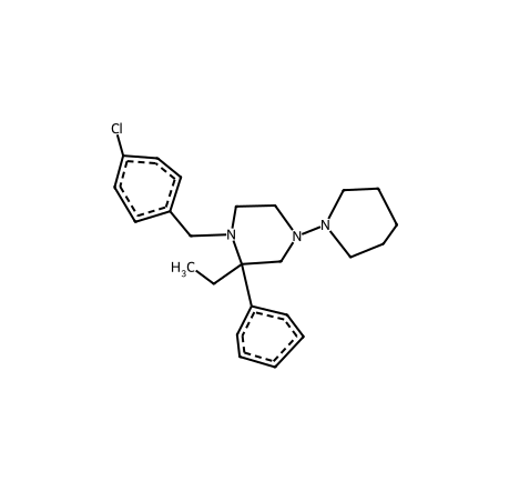 CCC1(c2ccccc2)CN(N2CCCCC2)CCN1Cc1ccc(Cl)cc1